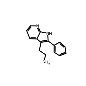 NCCc1c(-c2ccccc2)[nH]c2ncccc12